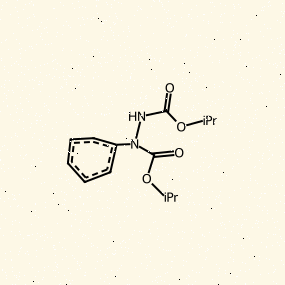 CC(C)OC(=O)NN(C(=O)OC(C)C)c1ccccc1